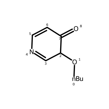 CCCCOC1C=NC=CC1=O